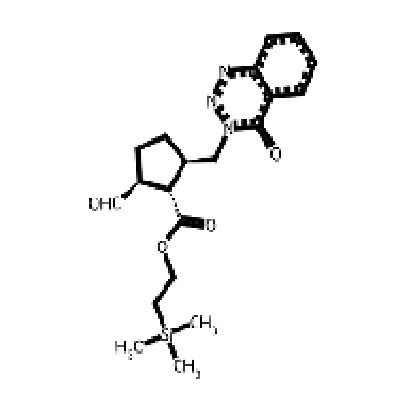 C[Si](C)(C)CCOC(=O)[C@H]1[C@H](Cn2nnc3ccccc3c2=O)CC[C@@H]1C=O